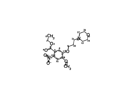 CCOC(=O)c1cc(OCCCN2CCOCC2)c(OC)cc1[N+](=O)[O-]